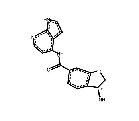 N[C@@H]1COc2cc(C(=O)Nc3ccnc4[nH]ccc34)ccc21